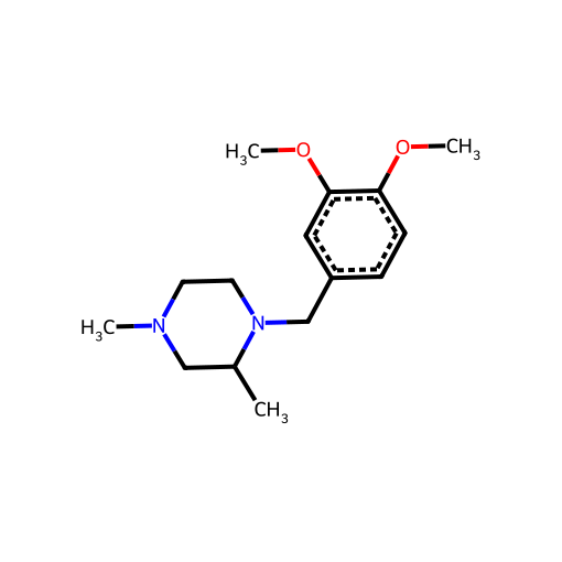 COc1ccc(CN2CCN(C)CC2C)cc1OC